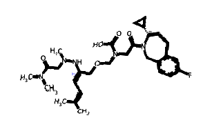 CC(C)=C/C=C(\COCN(CC(=O)N1Cc2ccc(F)cc2CC[C@H]1C1CC1)C(=O)O)NN(C)CC(=O)N(C)C